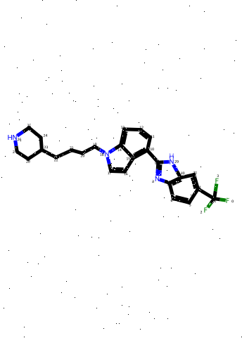 FC(F)(F)c1ccc2nc(-c3cccc4c3ccn4CCCCC3CCNCC3)[nH]c2c1